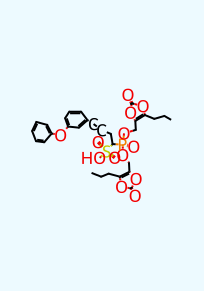 CCCc1oc(=O)oc1COP(=O)(OCc1oc(=O)oc1CCC)C(CCCc1cccc(Oc2ccccc2)c1)S(=O)(=O)O